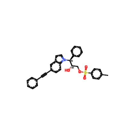 Cc1ccc(S(=O)(=O)OC[C@H](O)[C@H](c2ccccc2)n2ccc3cc(C#Cc4ccccc4)ccc32)cc1